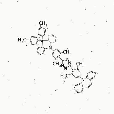 Cc1ccc([Si]2(c3ccc(C)cc3)c3ccccc3N(c3cc(C)c(-c4nnc(-c5c(C)cc(N6c7ccccc7C=Cc7ccccc76)cc5C)nn4)c(C)c3)c3ccccc32)cc1